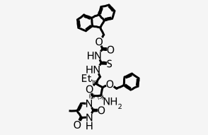 CC[C@@]1(CNC(=S)NC(=O)OCC2c3ccccc3-c3ccccc32)O[C@@H](n2cc(C)c(=O)[nH]c2=O)[C@@H](N)C1OCc1ccccc1